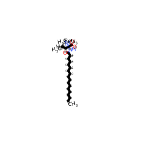 CCCCCCCCCCCCCCCCCC(=O)NC(CCC)(C(=O)[O-])[N+](C)(C)C